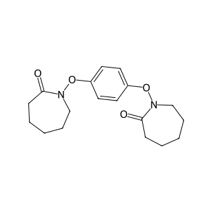 O=C1CCCCCN1Oc1ccc(ON2CCCCCC2=O)cc1